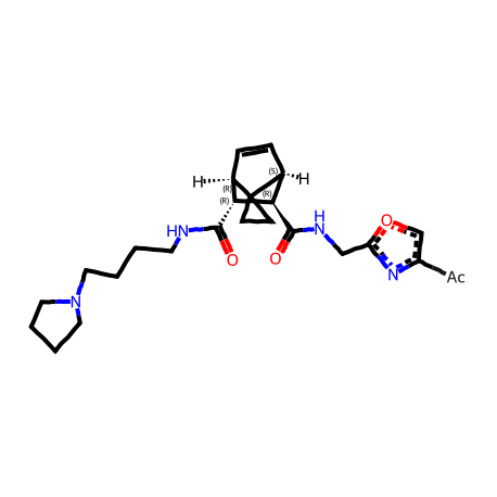 CC(=O)c1coc(CNC(=O)[C@H]2[C@H](C(=O)NCCCCN3CCCC3)[C@H]3C=C[C@@H]2C32CC2)n1